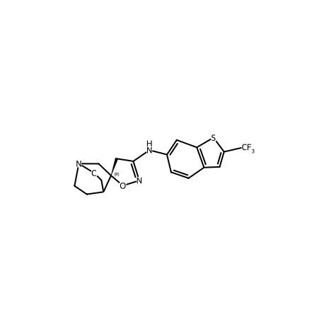 FC(F)(F)c1cc2ccc(NC3=NO[C@@]4(C3)CN3CCC4CC3)cc2s1